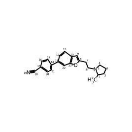 CC1CCCN1CCc1cc2ccc(-c3ccc(C#N)cc3)cc2o1